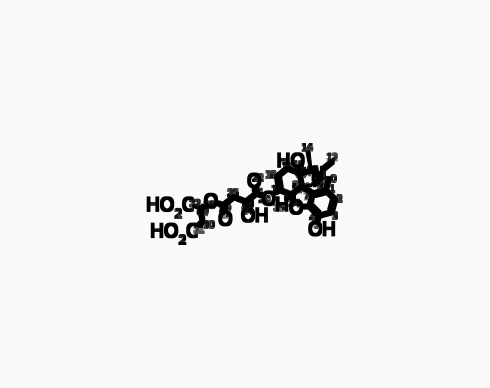 Cc1ccc(O)c2c1[C@]13CCN(C)[C@H](C)[C@]1(O)CC=C(OC(=O)[C@@H](O)CC(=O)O[C@H](CC(=O)O)C(=O)O)[C@@H]3O2